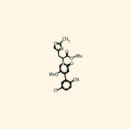 COc1cn(C(Cc2coc(C)n2)C(=O)OC(C)(C)C)c(=O)cc1-c1cc(Cl)ccc1C#N